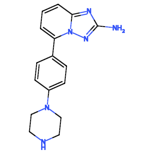 Nc1nc2cccc(-c3ccc(N4CCNCC4)cc3)n2n1